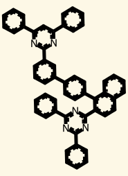 c1ccc(-c2cc(-c3ccccc3)nc(-c3cccc(-c4ccc(-c5c(-c6nc(-c7ccccc7)nc(-c7ccccc7)n6)ccc6ccccc56)cc4)c3)n2)cc1